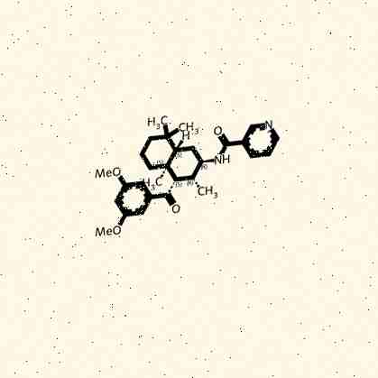 COc1cc(OC)cc(C(=O)[C@H]2[C@@H](C)[C@H](NC(=O)c3cccnc3)C[C@H]3C(C)(C)CCC[C@]23C)c1